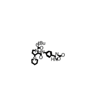 CC(C)(C)OC(=O)N1CCC(N2CCCCC2)C1C(=O)Nc1ccc(-c2nc(=O)o[nH]2)cc1